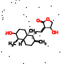 C=C1CC[C@@H]2[C@@H](C)[C@@H](O)CC[C@@]2(C)[C@@H]1CC=C1C(=O)OCC1O